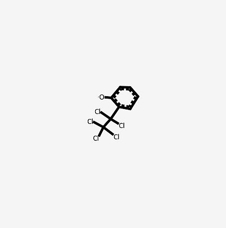 [O]c1ccccc1C(Cl)(Cl)C(Cl)(Cl)Cl